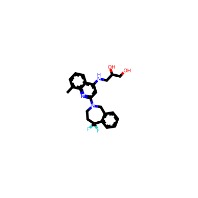 Cc1cccc2c(NCC(O)CO)cc(N3CCC(F)(F)c4ccccc4C3)nc12